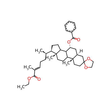 CCOC(=O)/C(C)=C/CC[C@@H](C)[C@H]1CCC2C3C(CC[C@@]21C)[C@@]1(C)CCC2(C[C@@H]1C[C@H]3OC(=O)c1ccccc1)OCCO2